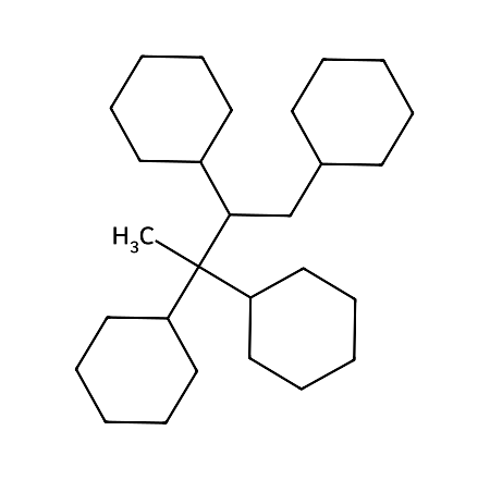 CC(C1CCCCC1)(C1CCCCC1)C(CC1CCCCC1)C1CCCCC1